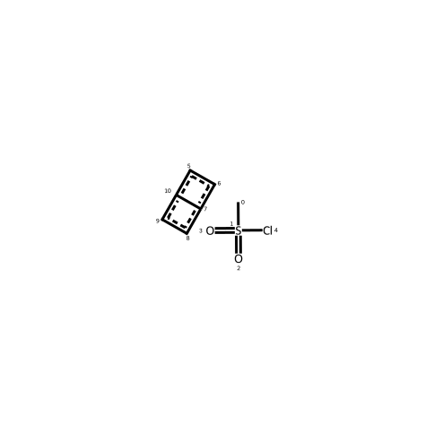 CS(=O)(=O)Cl.c1cc2ccc1-2